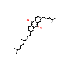 CC(C)=CCC/C(C)=C/CCc1ccc2c(O)c3ccc(CCC=C(C)C)cc3c(O)c2c1